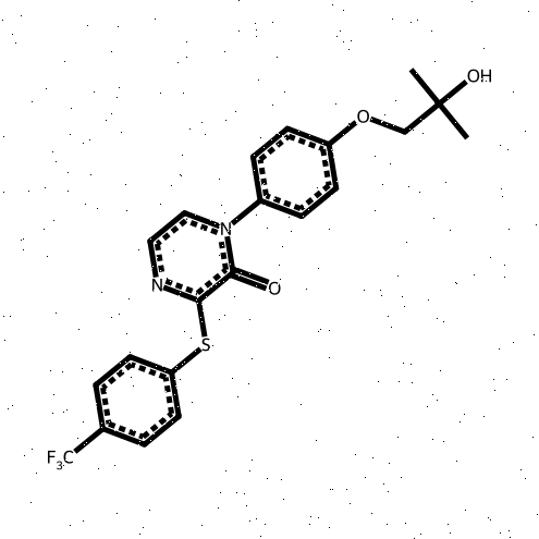 CC(C)(O)COc1ccc(-n2ccnc(Sc3ccc(C(F)(F)F)cc3)c2=O)cc1